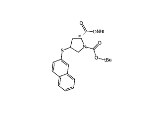 COC(=O)[C@H]1CC(Sc2ccc3ccccc3c2)CN1C(=O)OC(C)(C)C